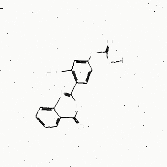 CCSC(=O)Oc1ccc(-c2nc3ccccc3c(=O)o2)c(C)c1